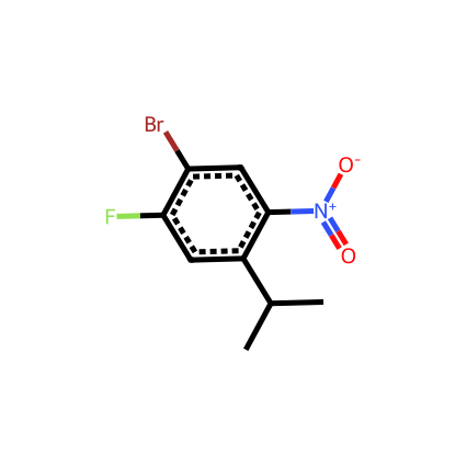 CC(C)c1cc(F)c(Br)cc1[N+](=O)[O-]